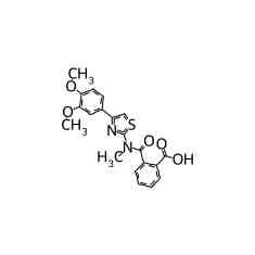 COc1ccc(-c2csc(N(C)C(=O)c3ccccc3C(=O)O)n2)cc1OC